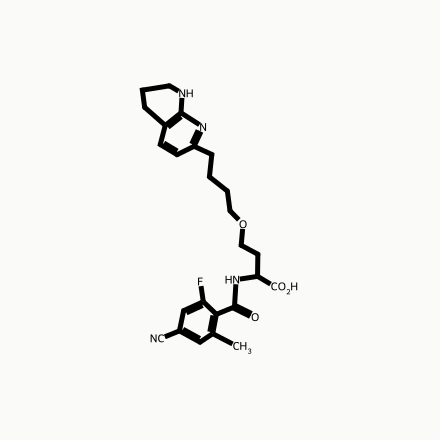 Cc1cc(C#N)cc(F)c1C(=O)NC(CCOCCCCc1ccc2c(n1)NCCC2)C(=O)O